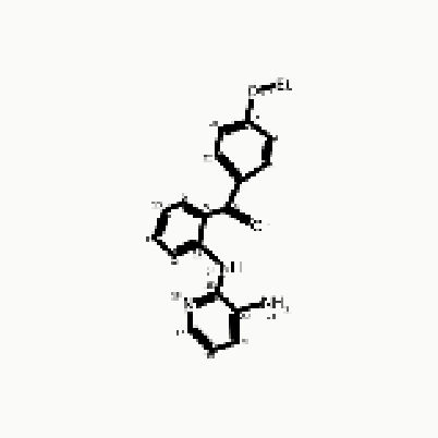 CCOc1ccc(C(=O)c2ccccc2Nc2ncccc2N)cc1